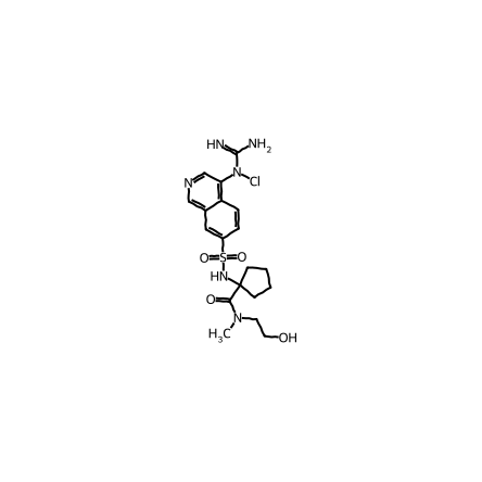 CN(CCO)C(=O)C1(NS(=O)(=O)c2ccc3c(N(Cl)C(=N)N)cncc3c2)CCCC1